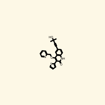 CC(C)(O)C#Cc1ccc2[nH]c(=O)c(-c3cccs3)c(OCc3ccccn3)c2c1